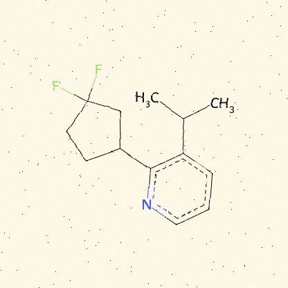 CC(C)c1cccnc1C1CCC(F)(F)C1